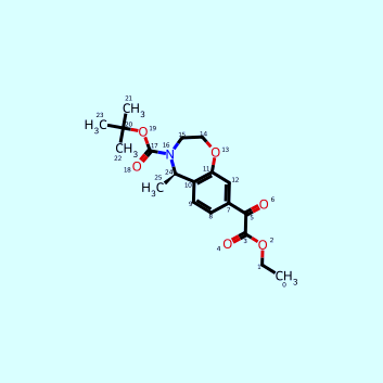 CCOC(=O)C(=O)c1ccc2c(c1)OCCN(C(=O)OC(C)(C)C)[C@@H]2C